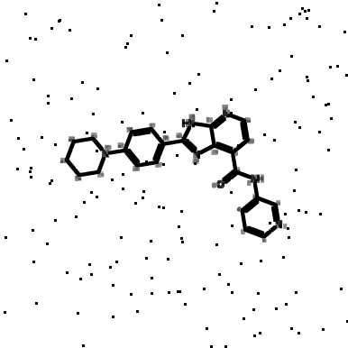 O=C(Nc1cccnc1)c1ccnc2[nH]c(-c3ccc(N4CCCCC4)cc3)nc12